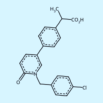 CC(C(=O)O)c1ccc(-c2ccc(=O)n(Cc3ccc(Cl)cc3)c2)cc1